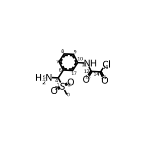 CS(=O)(=O)C(N)c1cccc(NC(=O)C(=O)Cl)c1